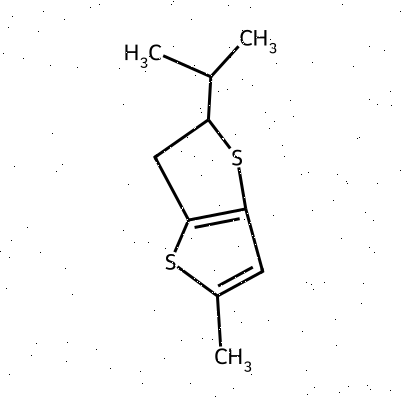 Cc1cc2c(s1)CC(C(C)C)S2